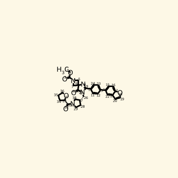 COC(=O)N1CC2(C1)N=C(c1ccc(-c3ccc4occc4c3)cc1)N(C[C@@H]1CCN(C(=O)[C@H]3CCCO3)C1)C2=O